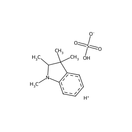 CC1N(C)c2ccccc2C1(C)C.O=S(=O)([O-])O.[H+]